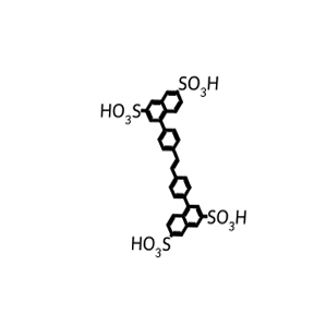 O=S(=O)(O)c1ccc2c(-c3ccc(C=Cc4ccc(-c5cc(S(=O)(=O)O)cc6cc(S(=O)(=O)O)ccc56)cc4)cc3)cc(S(=O)(=O)O)cc2c1